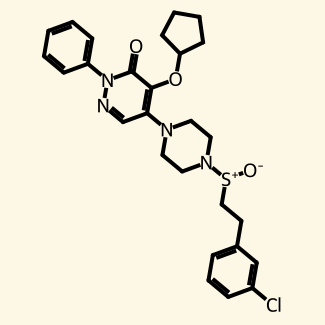 O=c1c(OC2CCCC2)c(N2CCN([S+]([O-])CCc3cccc(Cl)c3)CC2)cnn1-c1ccccc1